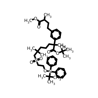 COC(=O)C(C)CCc1cccc(C(C)(CCCC(C)(C)CS(=O)(=O)CCO[Si](c2ccccc2)(c2ccccc2)C(C)(C)C)C(=O)OC(C)(C)C)c1